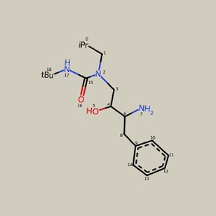 CC(C)CN(CC(O)C(N)Cc1ccccc1)C(=O)NC(C)(C)C